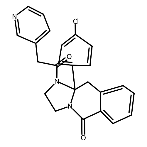 O=C(Cc1cccnc1)N1CCN2C(=O)c3ccccc3CC12c1ccc(Cl)cc1